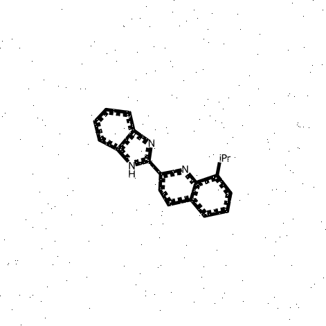 CC(C)c1cccc2ccc(-c3nc4ccccc4[nH]3)nc12